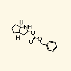 O=C(OCc1ccccc1)O[C@@H]1C[C@H]2CCC[C@H]2N1